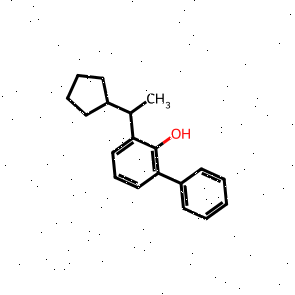 CC(c1cccc(-c2ccccc2)c1O)C1CCCC1